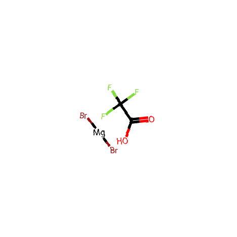 O=C(O)C(F)(F)F.[Br][Mg][Br]